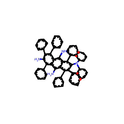 Nc1c(-c2ccccc2)c(-c2ccccc2)c2c(N)c3c(-c4ccccc4)c(N(c4ccccc4)c4ccccc4)c(-c4ccccc4)c(-c4ccccc4)c3c(N)c2c1-c1ccccc1